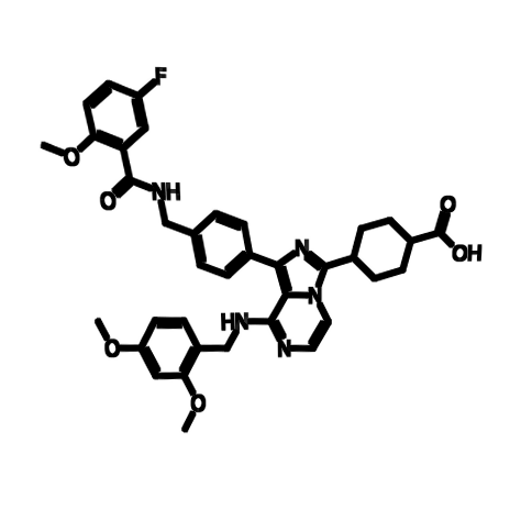 COc1ccc(CNc2nccn3c(C4CCC(C(=O)O)CC4)nc(-c4ccc(CNC(=O)c5cc(F)ccc5OC)cc4)c23)c(OC)c1